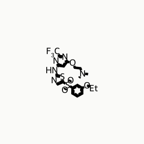 CCOc1cccc(S(=O)(=O)c2cnc(Nc3cc(OCCN(C)C)nc(C(F)(F)F)n3)s2)c1